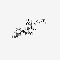 CCN(C(=O)C(C)CSCC(F)(F)F)c1cn(-c2ccc[n+](O)c2)nc1Cl